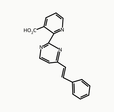 O=C(O)c1cccnc1-c1nccc(C=Cc2ccccc2)n1